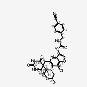 C[C@@H]1CN2c3c(nc4c(OC(=O)NCc5ccc(C#N)cc5)noc4c3Cl)CC3(C(=O)NC(=O)NC3=O)[C@H]2[C@H](C)O1